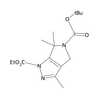 CCOC(=O)n1nc(C)c2c1C(C)(C)N(C(=O)OC(C)(C)C)C2